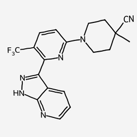 CC1(C#N)CCN(c2ccc(C(F)(F)F)c(-c3n[nH]c4ncccc34)n2)CC1